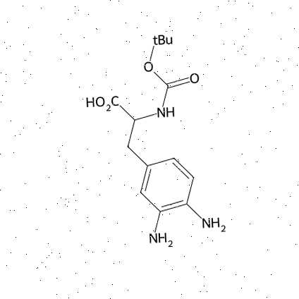 CC(C)(C)OC(=O)NC(Cc1ccc(N)c(N)c1)C(=O)O